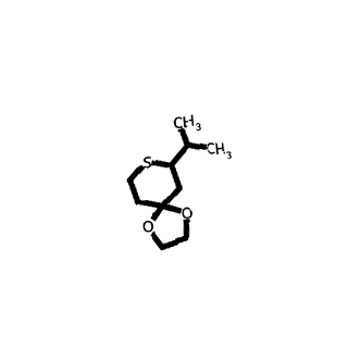 CC(C)C1CC2(CCS1)OCCO2